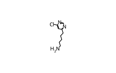 NCCCCCc1cc(Cl)ncn1